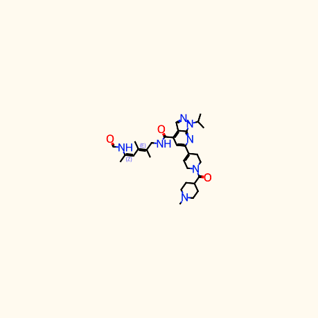 C/C(=C/C(C)=C(\C)CNC(=O)c1cc(C2=CCN(C(=O)C3CCN(C)CC3)CC2)nc2c1cnn2C(C)C)NC=O